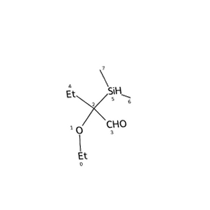 CCOC(C=O)(CC)[SiH](C)C